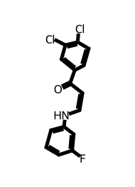 O=C(/C=C\Nc1cccc(F)c1)c1ccc(Cl)c(Cl)c1